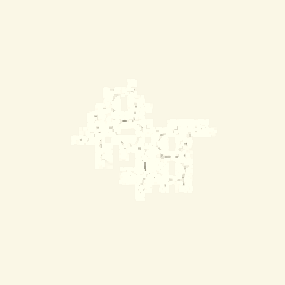 O=S(=O)([O-])c1cccc2ccccc12.O=S(=O)([O-])c1cccc2ccccc12.[Co+2]